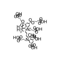 CC1(C)C(/C=C/C=C2/N(CCCS(=O)(=O)O)c3cc(S(=O)(=O)O)cc(C(=O)O)c3C2(C)C)=[N+](CCCS(=O)(=O)O)c2cc(C(=O)OCCCS(=O)(=O)O)cc(C(=O)OCCCS(=O)(=O)O)c21